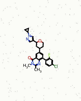 Cc1nc2c(-c3ccc(Cl)cc3F)cc(C3CCOC(c4cnn(C5CC5)c4)C3)cc2c(=O)n1C